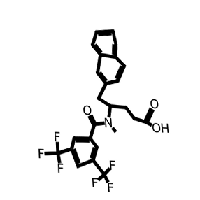 CN(C(=O)c1cc(C(F)(F)F)cc(C(F)(F)F)c1)C(CCC(=O)O)Cc1ccc2ccccc2c1